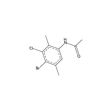 CC(=O)Nc1cc(C)c(Br)c(Cl)c1C